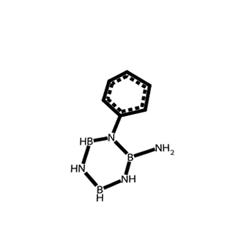 NB1NBNBN1c1ccccc1